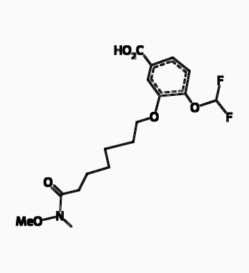 CON(C)C(=O)CCCCCCOc1cc(C(=O)O)ccc1OC(F)F